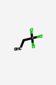 O=CC[Si](Cl)(Cl)Cl